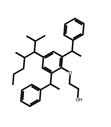 CCCC(C)C(c1cc(C(C)c2ccccc2)c(OCCO)c(C(C)c2ccccc2)c1)C(C)C